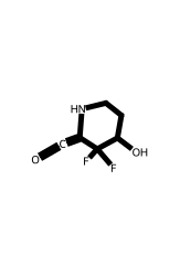 O=C=C1NCCC(O)C1(F)F